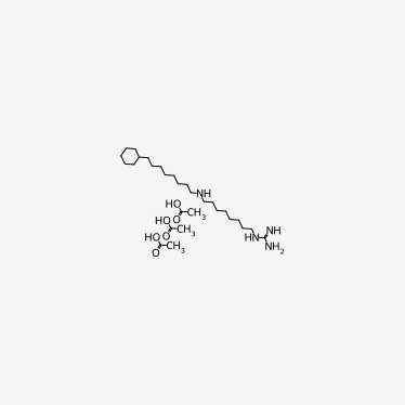 CC(=O)O.CC(=O)O.CC(=O)O.N=C(N)NCCCCCCCCNCCCCCCCCC1CCCCC1